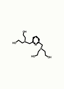 OCCN(CCO)Cc1cccc(CN(CCO)CCO)n1